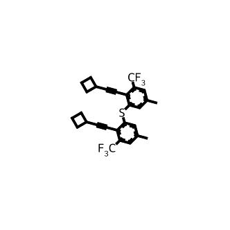 Cc1cc(Sc2cc(C)cc(C(F)(F)F)c2C#CC2CCC2)c(C#CC2CCC2)c(C(F)(F)F)c1